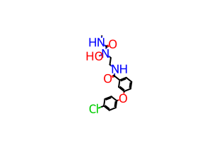 CNC(=O)N(O)CCNC(=O)c1cccc(Oc2ccc(Cl)cc2)c1